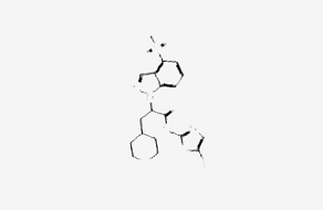 CS(=O)(=O)c1cccc2c1cnn2C(CC1CCOCC1)C(=O)Nc1ncc(F)s1